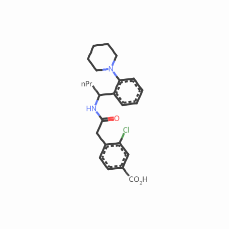 CCCC(NC(=O)Cc1ccc(C(=O)O)cc1Cl)c1ccccc1N1CCCCC1